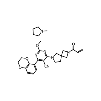 C=CC(=O)N1CC2(CCN(c3nc(OC[C@@H]4CCCN4C)nc(-c4cccc5c4OCCO5)c3C#N)C2)C1